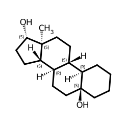 C[C@]12CC[C@H]3[C@@H](CC[C@@]4(O)CCCC[C@H]34)[C@@H]1CC[C@@H]2O